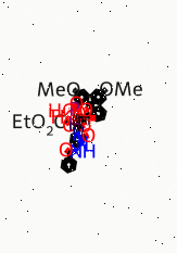 CCOC(=O)CO[C@H]1[C@H](n2ccc(NC(=O)c3ccccc3)nc2=O)O[C@H](C(C)OC(c2ccccc2)(c2ccc(OC)cc2)c2ccc(OC)cc2)[C@@]1(O)O[PH](=O)O